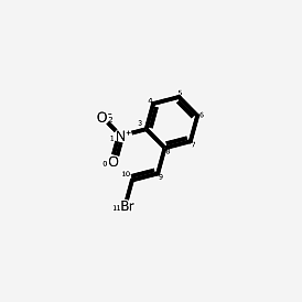 O=[N+]([O-])c1ccccc1C=CBr